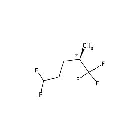 C[C@H](CCC(F)F)C(F)(F)F